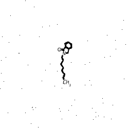 CCCCCCCCN1Cc2ccccc2C1=O